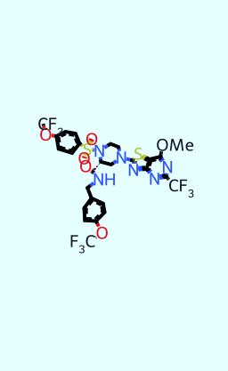 COc1nc(C(F)(F)F)nc2nc(N3CCN(S(=O)(=O)c4ccc(OC(F)(F)F)cc4)[C@@H](C(=O)NCc4ccc(OC(F)(F)F)cc4)C3)sc12